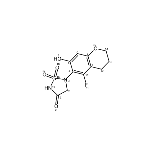 O=C1CN(c2c(O)cc3c(c2F)CCCO3)S(=O)(=O)N1